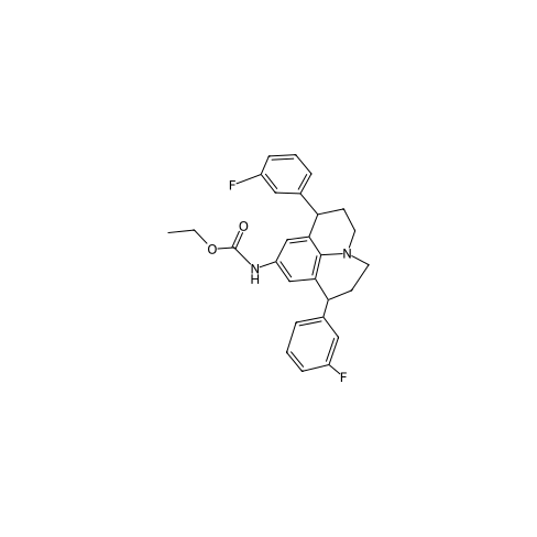 CCOC(=O)Nc1cc2c3c(c1)C(c1cccc(F)c1)CCN3CCC2c1cccc(F)c1